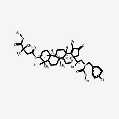 CC(C)C1=C2[C@H]3CC[C@@H]4[C@@]5(C)CC[C@H](OC(=O)CC(C)(C)C(=O)OC(C)(C)C)C(C)(C)C5CC[C@@]4(C)[C@]3(C)CC[C@@]2([C@H](O)CN(Cc2ccc(Cl)cc2)C(=O)OC(C)(C)C)CC1=O